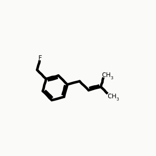 CC(C)=CCc1cccc(CF)c1